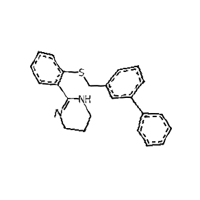 c1ccc(-c2cccc(CSc3ccccc3C3=NCCCN3)c2)cc1